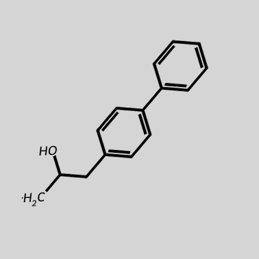 [CH2]C(O)Cc1ccc(-c2ccccc2)cc1